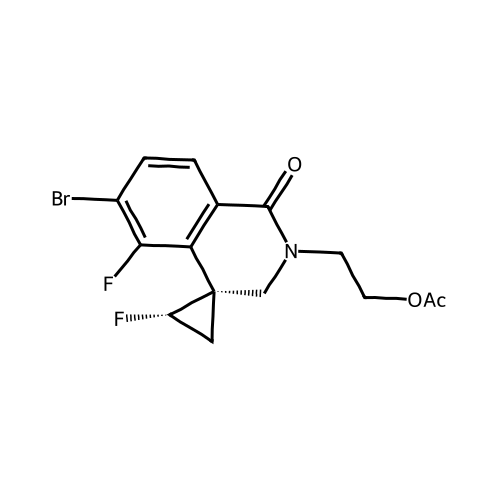 CC(=O)OCCN1C[C@@]2(C[C@@H]2F)c2c(ccc(Br)c2F)C1=O